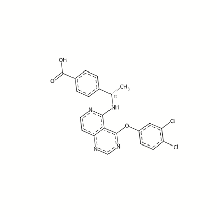 C[C@H](Nc1nccc2ncnc(Oc3ccc(Cl)c(Cl)c3)c12)c1ccc(C(=O)O)cc1